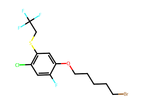 Fc1cc(Cl)c(SCC(F)(F)F)cc1OCCCCCBr